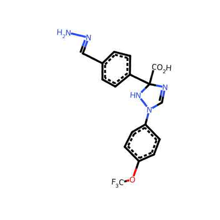 N/N=C/c1ccc(C2(C(=O)O)N=CN(c3ccc(OC(F)(F)F)cc3)N2)cc1